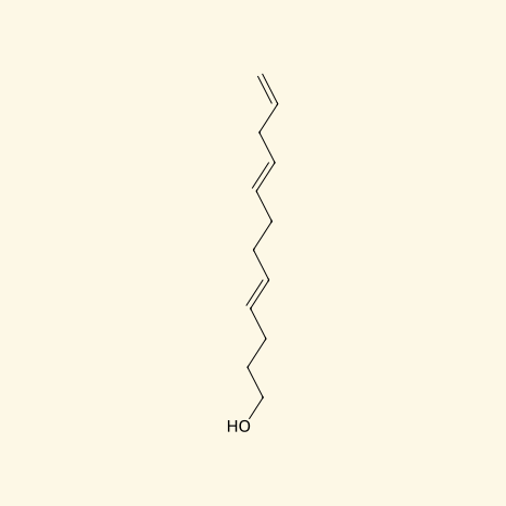 C=CCC=CCCC=CCCCO